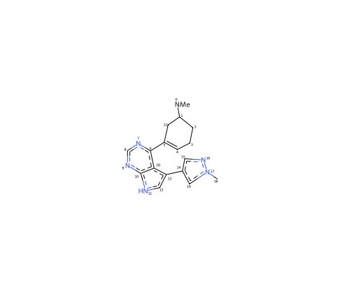 CNC1CCC=C(c2ncnc3[nH]cc(-c4cnn(C)c4)c23)C1